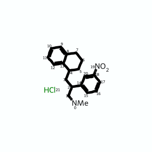 CNCC(CC1CCCc2ccccc21)c1cccc([N+](=O)[O-])c1.Cl